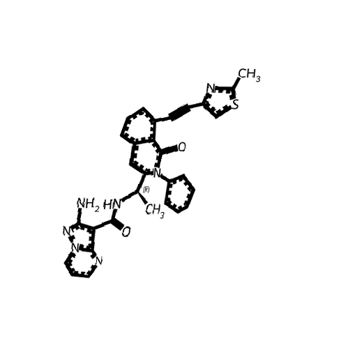 Cc1nc(C#Cc2cccc3cc([C@@H](C)NC(=O)c4c(N)nn5cccnc45)n(-c4ccccc4)c(=O)c23)cs1